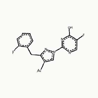 CC(=O)c1cn(-c2ncc(F)c(O)n2)nc1Cc1ccccc1F